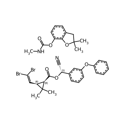 CC1(C)[C@H](C(=O)O[C@H](C#N)c2cccc(Oc3ccccc3)c2)[C@@H]1C=C(Br)Br.CNC(=O)Oc1cccc2c1OC(C)(C)C2